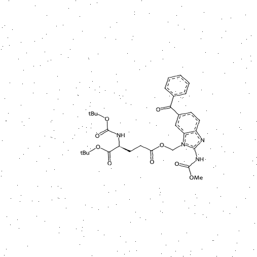 COC(=O)Nc1nc2ccc(C(=O)c3ccccc3)cc2n1COC(=O)CC[C@H](NC(=O)OC(C)(C)C)C(=O)OC(C)(C)C